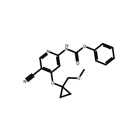 COCC1(Oc2cc(NC(=O)Oc3ccccc3)ncc2C#N)CC1